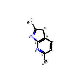 CC(C)C1=Nc2nc(C(C)C)ccc2C1